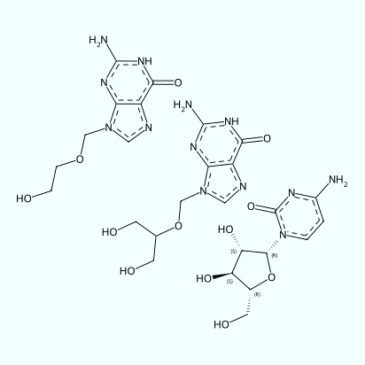 Nc1ccn([C@@H]2O[C@H](CO)[C@@H](O)[C@@H]2O)c(=O)n1.Nc1nc2c(ncn2COC(CO)CO)c(=O)[nH]1.Nc1nc2c(ncn2COCCO)c(=O)[nH]1